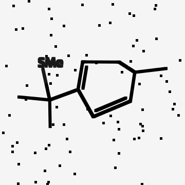 CSC(C)(C)C1=CCC(C)C=C1